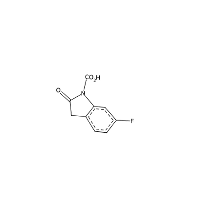 O=C(O)N1C(=O)Cc2ccc(F)cc21